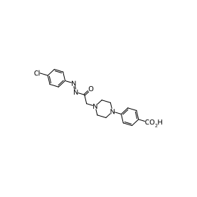 O=C(CN1CCN(c2ccc(C(=O)O)cc2)CC1)N=Nc1ccc(Cl)cc1